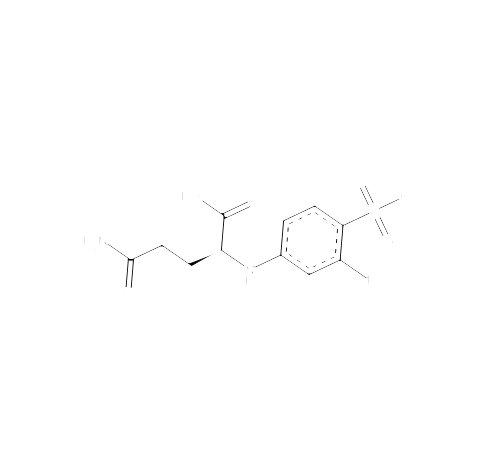 NC(=O)CC[C@H](Nc1ccc(S(=O)(=O)O)c(I)c1)C(=O)O